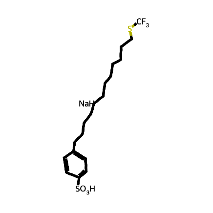 O=S(=O)(O)c1ccc(CCCCCCCCCCCCSC(F)(F)F)cc1.[NaH]